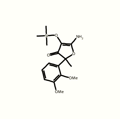 COc1cccc(C2(C)OC(N)=C(O[Si](C)(C)C)C2=O)c1OC